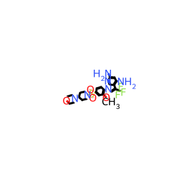 COc1cc(S(=O)(=O)N2CCC(N3CCOCC3)CC2)ccc1-n1cc(C(F)(F)F)c2c(N)cc(N)nc21